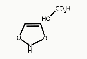 C1=CONO1.O=C(O)O